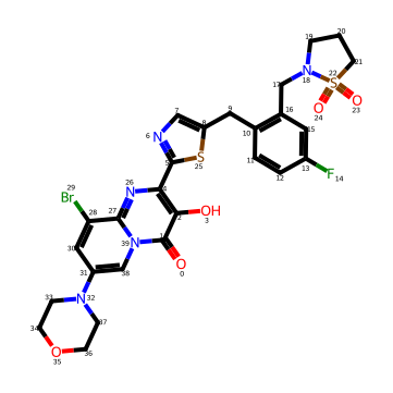 O=c1c(O)c(-c2ncc(Cc3ccc(F)cc3CN3CCCS3(=O)=O)s2)nc2c(Br)cc(N3CCOCC3)cn12